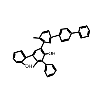 Cc1ccc(-c2ccc(-c3ccccc3)cc2)cc1-c1cc(-c2ccccc2O)c(C)c(-c2ccccc2)c1O